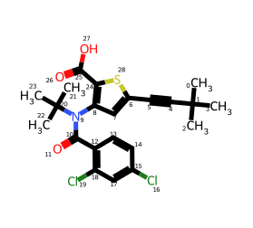 CC(C)(C)C#Cc1cc(N(C(=O)c2ccc(Cl)cc2Cl)C(C)(C)C)c(C(=O)O)s1